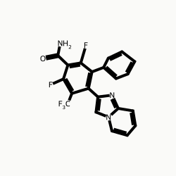 NC(=O)c1c(F)c(-c2ccccc2)c(-c2cn3ccccc3n2)c(C(F)(F)F)c1F